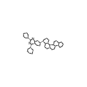 c1ccc(-c2nc(-c3ccccc3)c3ccc(-c4cccc5c4ccc4ccc6c7ccccc7ccc6c45)cc3n2)cc1